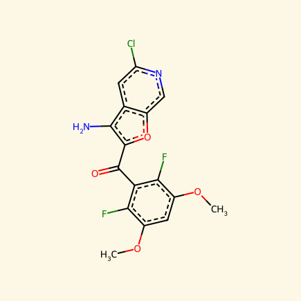 COc1cc(OC)c(F)c(C(=O)c2oc3cnc(Cl)cc3c2N)c1F